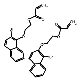 C=CC(=O)OCCOc1c(Br)ccc2ccccc12.C=CC(=O)OCCOc1ccc2ccccc2c1Br